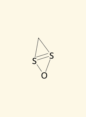 C1S2=S1O2